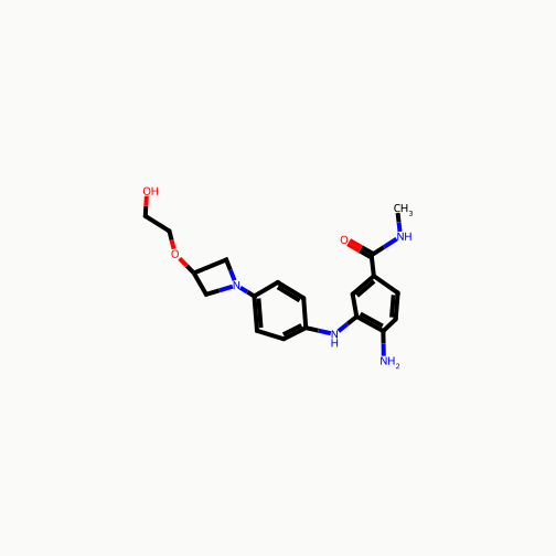 CNC(=O)c1ccc(N)c(Nc2ccc(N3CC(OCCO)C3)cc2)c1